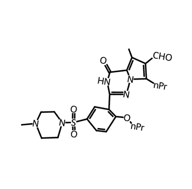 CCCOc1ccc(S(=O)(=O)N2CCN(C)CC2)cc1-c1nn2c(CCC)c(C=O)c(C)c2c(=O)[nH]1